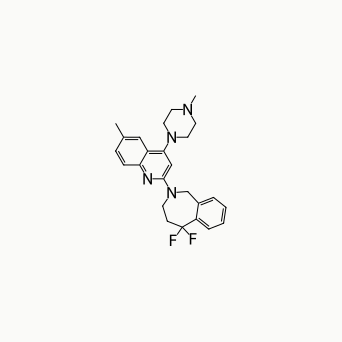 Cc1ccc2nc(N3CCC(F)(F)c4ccccc4C3)cc(N3CCN(C)CC3)c2c1